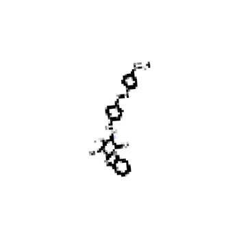 N#CC1=C(C(F)(F)F)/C(=N\Nc2ccc(N=Nc3ccc(S(=O)(=O)O)cc3)cc2)C(=O)n2c1nc1ccccc12